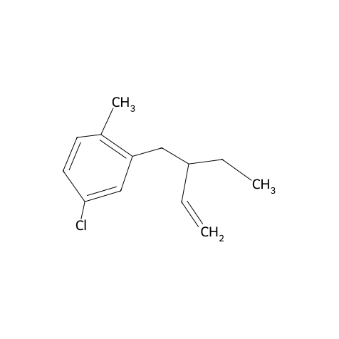 C=CC(CC)Cc1cc(Cl)ccc1C